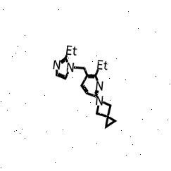 CCc1nc(N2CC3(CC3)C2)ccc1Cn1ccnc1CC